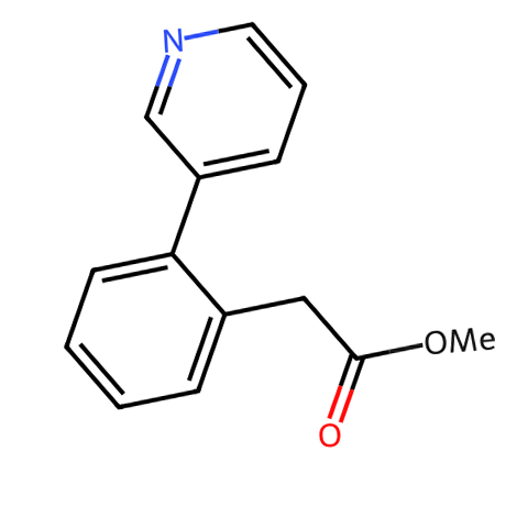 COC(=O)Cc1ccccc1-c1cccnc1